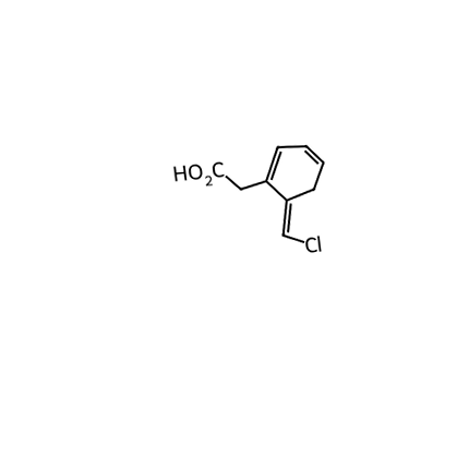 O=C(O)CC1=CC=CCC1=CCl